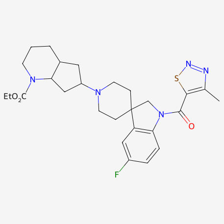 CCOC(=O)N1CCCC2CC(N3CCC4(CC3)CN(C(=O)c3snnc3C)c3ccc(F)cc34)CC21